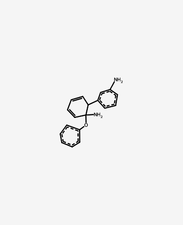 Nc1cccc(C2C=CC=CC2(N)Oc2ccccc2)c1